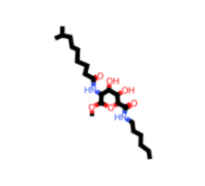 CCCCCCNC(=O)C1OC(OC)C(NC(=O)CCCCCCC(C)C)C(O)C1O